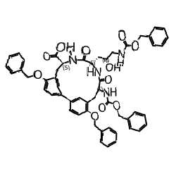 CN1C(=O)[C@H](C[C@@H](O)CNC(=O)OCc2ccccc2)NC(=O)[C@@H](NC(=O)OCc2ccccc2)Cc2cc(ccc2OCc2ccccc2)-c2ccc(OCc3ccccc3)c(c2)C[C@H]1C(=O)O